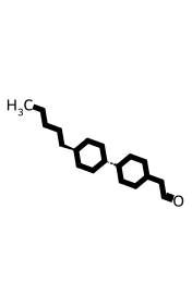 CCCCC[C@H]1CC[C@H](C2CCC(CC=O)CC2)CC1